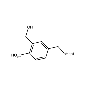 CCCCCCCCc1ccc(C(=O)O)c(CO)c1